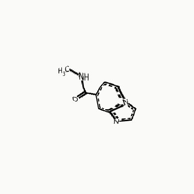 CNC(=O)c1ccn2ccnc2c1